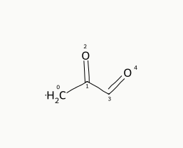 [CH2]C(=O)C=O